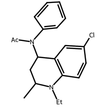 CCN1c2ccc(Cl)cc2C(N(C(C)=O)c2ccccc2)CC1C